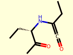 CCC(=C=O)N[C@@H](CC)C(C)=O